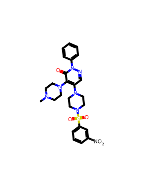 CN1CCN(c2c(N3CCN(S(=O)(=O)c4cccc([N+](=O)[O-])c4)CC3)cnn(-c3ccccc3)c2=O)CC1